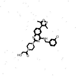 Cc1noc(C)c1-c1ccc2nc(N3CCN(C(=O)CO)CC3)nc(NCc3cccc(Cl)c3)c2c1